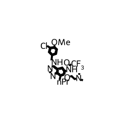 CCCc1c(OCCN(C)C)c(NC(=O)C(F)(F)F)cc2c(NCc3ccc(OC)c(Cl)c3)ncnc12